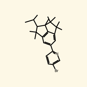 CC(C)C1C(C)(C)c2cc(-c3ccc(Br)cn3)cc3c2C1(C)C(C)(C)C3(C)C